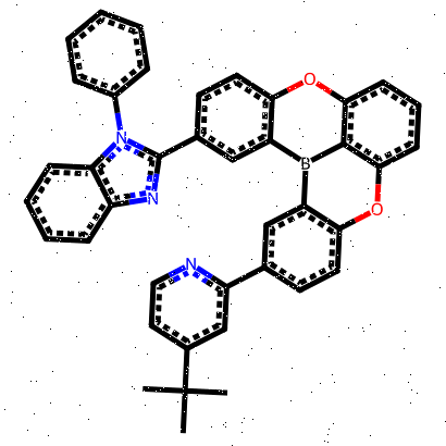 CC(C)(C)c1ccnc(-c2ccc3c(c2)B2c4cc(-c5nc6ccccc6n5-c5ccccc5)ccc4Oc4cccc(c42)O3)c1